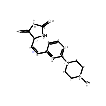 CC(C)N1CCN(c2nccc(/C=C\C3NC(=O)NC3=O)n2)CC1